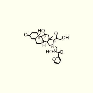 C[C@]12C=CC(=O)C=C1CC[C@@H]1C2[C@@H](O)C[C@@]2(C)C1C[C@@H](CN(O)C(=O)c1ccco1)[C@@H]2C(=O)CO